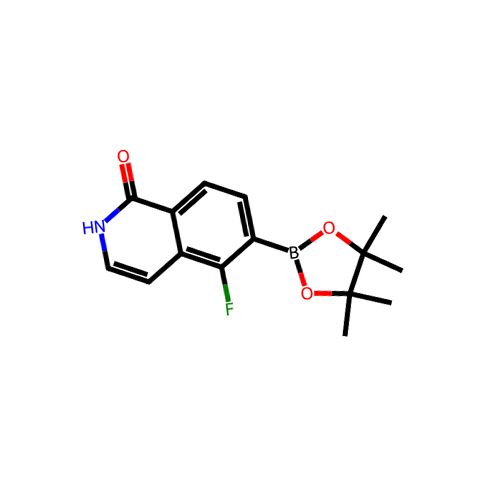 CC1(C)OB(c2ccc3c(=O)[nH]ccc3c2F)OC1(C)C